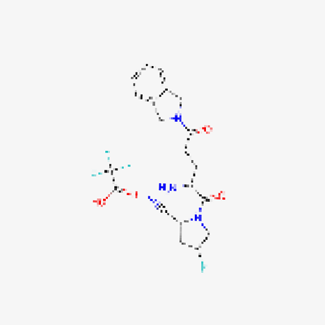 N#CC1CC(F)CN1C(=O)C(N)CCC(=O)N1Cc2ccccc2C1.O=C(O)C(F)(F)F